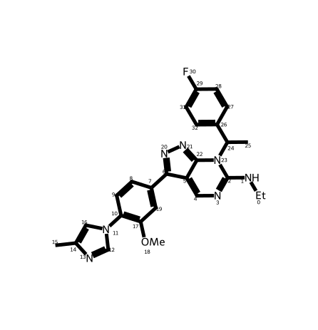 CCNc1ncc2c(-c3ccc(-n4cnc(C)c4)c(OC)c3)nnc-2n1C(C)c1ccc(F)cc1